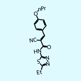 CCCOc1ccc(/C=C(\C#N)C(=O)Nc2nnc(CC)s2)cc1